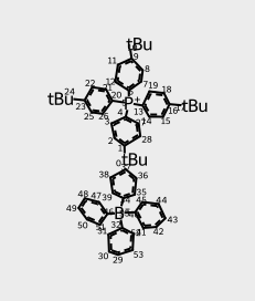 CC(C)(C)c1ccc([P+](c2ccc(C(C)(C)C)cc2)(c2ccc(C(C)(C)C)cc2)c2ccc(C(C)(C)C)cc2)cc1.c1ccc([B-](c2ccccc2)(c2ccccc2)c2ccccc2)cc1